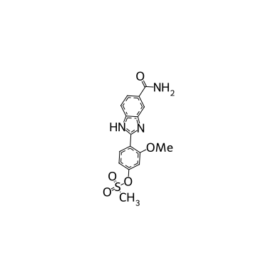 COc1cc(OS(C)(=O)=O)ccc1-c1nc2cc(C(N)=O)ccc2[nH]1